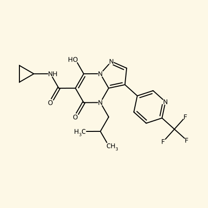 CC(C)Cn1c(=O)c(C(=O)NC2CC2)c(O)n2ncc(-c3ccc(C(F)(F)F)nc3)c12